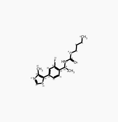 CCCCOC(=O)N[C@@H](C)c1ccc(-c2scnc2C)cc1F